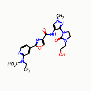 Cn1cc(NC(=O)c2coc(-c3ccnc(N(CC(F)(F)F)C(=O)O)c3)n2)c(N2CCN(CCO)C2=O)n1